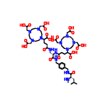 CN[C@@H](CC(C)C)C(=O)NCc1ccc(CNC(=O)[C@H](CNC(=O)CCC(C(=O)O)N2CCN(CC(=O)O)CCN(CC(=O)O)CCN(CC(=O)O)CC2)NC(=O)CCC(C(=O)O)N2CCN(CC(=O)O)CCN(CC(=O)O)CCN(CC(=O)O)CC2)cc1